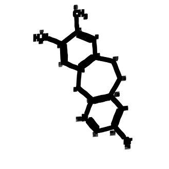 Cc1cc2c(cc1N)Cc1ncc(Br)cc1CC2